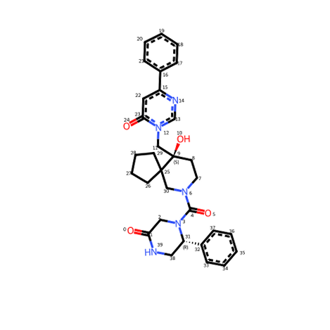 O=C1CN(C(=O)N2CC[C@@](O)(Cn3cnc(-c4ccccc4)cc3=O)C3(CCCC3)C2)[C@H](c2ccccc2)CN1